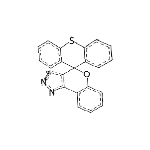 c1ccc2c(c1)OC1(c3ccccc3Sc3ccccc31)c1c-2nn2ccccc12